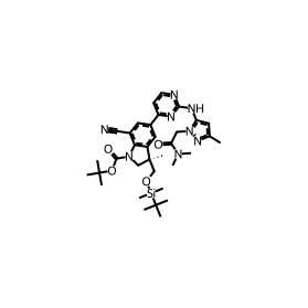 Cc1cc(Nc2nccc(-c3cc(C#N)c4c(c3)[C@@](C)(CO[Si](C)(C)C(C)(C)C)CN4C(=O)OC(C)(C)C)n2)n(CC(=O)N(C)C)n1